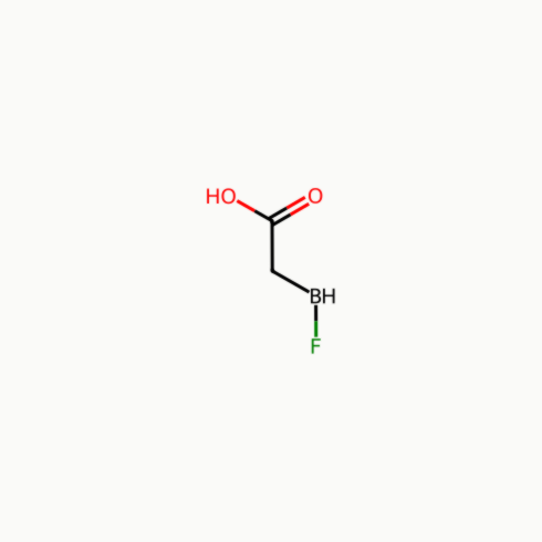 O=C(O)CBF